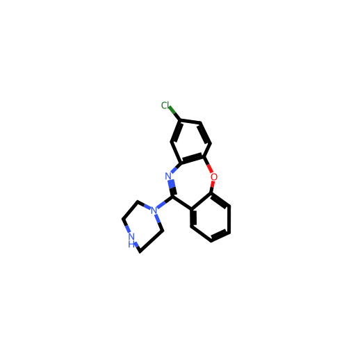 Clc1ccc2c(c1)N=C(N1CCNCC1)c1ccccc1O2